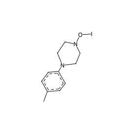 Cc1ccc(N2CCN(OI)CC2)cc1